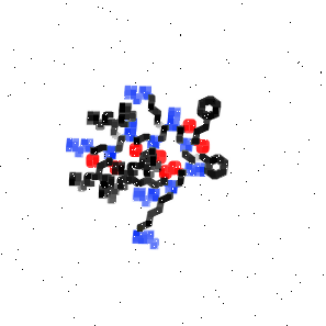 C=CCCCC(=O)N(CC(=O)N[C@@H](Cc1ccccc1)CN(CC(=O)N[C@@H](CCCCN)CN(CC(=O)N[C@@H](CC(C)C)CN(CC(N)=O)C(=O)CC(C)C)C(=O)CC(C)C)C(=O)CCc1ccccc1)C[C@@H](N)CCCCN